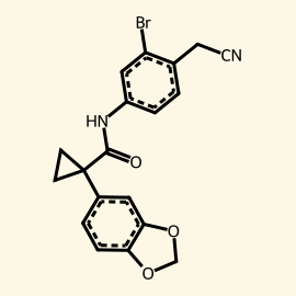 N#CCc1ccc(NC(=O)C2(c3ccc4c(c3)OCO4)CC2)cc1Br